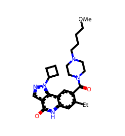 CCc1cc2[nH]c(=O)c3cnn(C4CCC4)c3c2cc1C(=O)N1CCN(CCCCOC)CC1